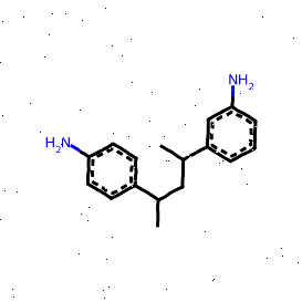 CC(CC(C)c1cccc(N)c1)c1ccc(N)cc1